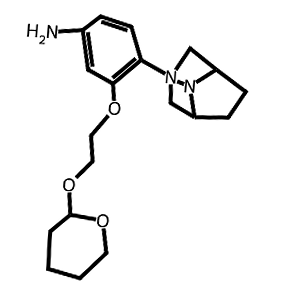 CN1C2CCC1CN(c1ccc(N)cc1OCCOC1CCCCO1)C2